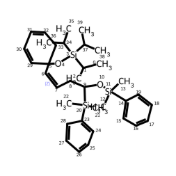 CC(C)[Si](OC1(/C=C\CC(O[Si](C)(C)c2ccccc2)[Si](C)(C)c2ccccc2)C=CC=CC1)(C(C)C)C(C)C